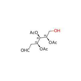 CC(=O)O[C@H]([C@H](CC=O)OC(C)=O)[C@@H](CO)OC(C)=O